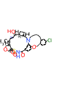 C[C@H]1/C=C/[C@H](O)[C@@H]2CC[C@H]2CN2CCCCc3cc(Cl)ccc3COc3ccc(cc32)C(=O)NS(=O)(=O)[C@@H]2COC[C@H]21